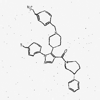 Cc1ccc(CN2CCC(c3c(C(=O)N4CC[C@H](c5ccccc5)C4)cnn3-c3ccc(F)cc3)CC2)cc1